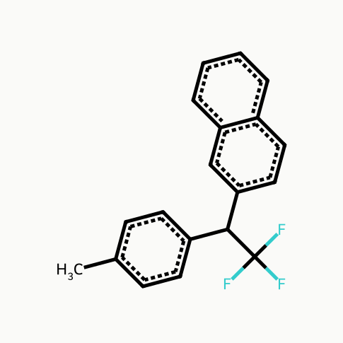 Cc1ccc(C(c2ccc3ccccc3c2)C(F)(F)F)cc1